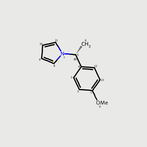 COc1ccc([C@@H](C)n2cccc2)cc1